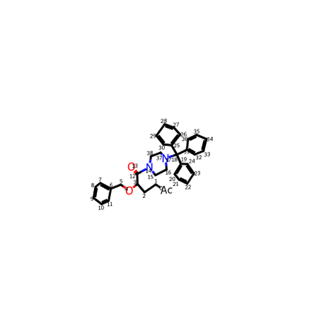 CC(=O)CCC(OCc1ccccc1)C(=O)N1CCN(C(c2ccccc2)(c2ccccc2)c2ccccc2)CC1